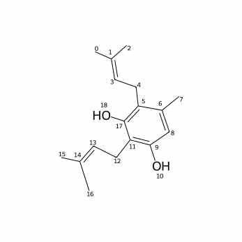 CC(C)=CCc1c(C)cc(O)c(CC=C(C)C)c1O